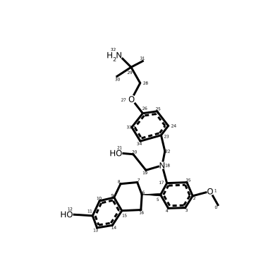 COc1ccc([C@@H]2CCc3cc(O)ccc3C2)c(N(CCO)Cc2ccc(OCC(C)(C)N)cc2)c1